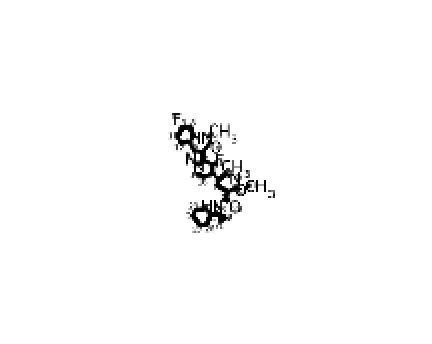 CNC(=O)c1c(-c2ccc(F)cc2)nn2ccc(-c3cc(C(=O)NC4(c5ccccc5)CC4)c(OC)nc3C)c(F)c12